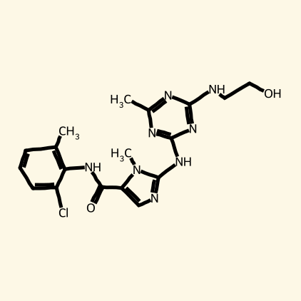 Cc1nc(NCCO)nc(Nc2ncc(C(=O)Nc3c(C)cccc3Cl)n2C)n1